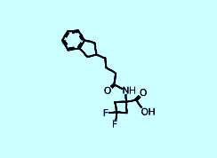 O=C(CCCC1Cc2ccccc2C1)NC1(C(=O)O)CC(F)(F)C1